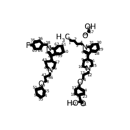 CCCCCn1cc(C2CCN(CCCOc3ccc(C(=O)O)cc3)CC2)c2ccccc21.Fc1ccc(Cn2cc(C3CCN(CCCOc4ccccc4)CC3)c3ccccc32)cc1.O=CO